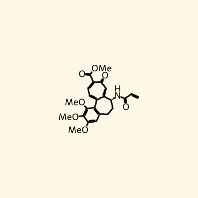 C=CC(=O)N[C@H]1CCc2cc(OC)c(OC)c(OC)c2-c2ccc(C(=O)OC)c(=O)cc21